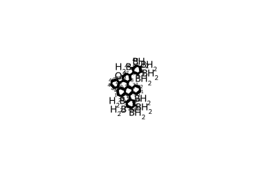 Bc1c(B)c(B)c(-c2cc(-c3c4ccccc4c(-c4c(B)c(B)c(B)c(B)c4B)c4ccccc34)c3c(c2)oc2ccccc23)c(B)c1B